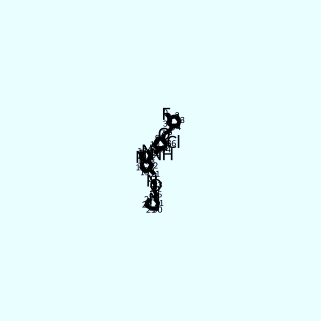 Fc1cccc(COc2ccc(Nc3ncnc4ccc(/C=N/OCCN5CCCCC5)cc34)cc2Cl)c1